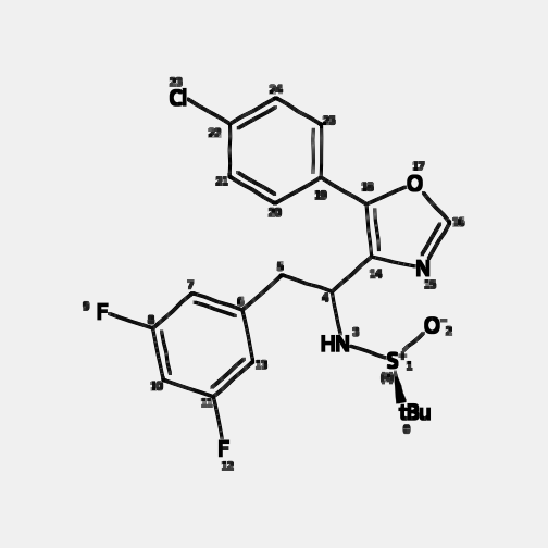 CC(C)(C)[S@+]([O-])NC(Cc1cc(F)cc(F)c1)c1ncoc1-c1ccc(Cl)cc1